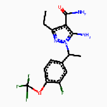 CCc1nn(C(C)c2ccc(OC(F)(F)F)c(F)c2)c(N)c1C(N)=O